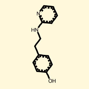 Oc1ccc(CCNc2ccccn2)cc1